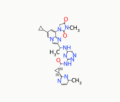 Cc1ccnc([C@H]2C[C@@H]2C(=O)Nc2nncc(NC(C)c3cn4cc(C5CC5)cc(N5CC(=O)N(C)C5=O)c4n3)n2)n1